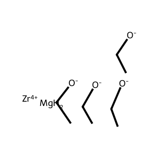 CC[O-].CC[O-].CC[O-].CC[O-].[MgH2].[Zr+4]